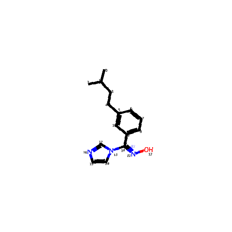 CC(C)CCc1cccc(/C(=N\O)n2ccnc2)c1